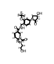 O=C(NCc1ccc(N2C[C@H](O)CC2=O)cc1OC(F)(F)F)c1ccc2nn(CCO)c(=O)n2c1